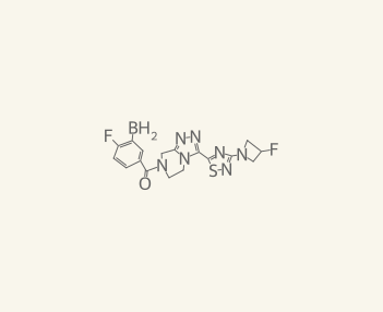 Bc1cc(C(=O)N2CCn3c(nnc3-c3nc(N4CC(F)C4)ns3)C2)ccc1F